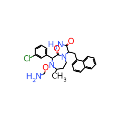 CC1CCN(C(Cc2cccc3ccccc23)C(N)=O)C(=O)C(c2cccc(Cl)c2)N1OCN